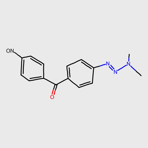 CN(C)/N=N/c1ccc(C(=O)c2ccc(N=O)cc2)cc1